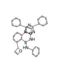 C1=CC(c2cccc(C3C=CO3)c2B(Nc2ccccc2)Nc2nc(-c3ccccc3)nc(-c3ccccc3)n2)O1